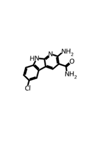 NC(=O)c1cc2c(nc1N)[nH]c1ccc(Cl)cc12